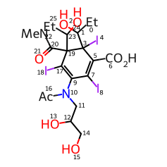 CCC(O)C1(I)C(C(=O)O)=C(I)C(N(CC(O)CO)C(C)=O)=C(I)C1(C(=O)NC)C(O)CC